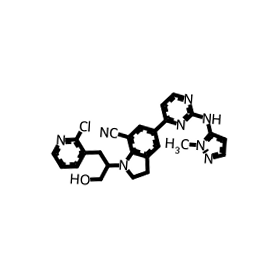 Cn1nccc1Nc1nccc(-c2cc(C#N)c3c(c2)CCN3C(CO)Cc2cccnc2Cl)n1